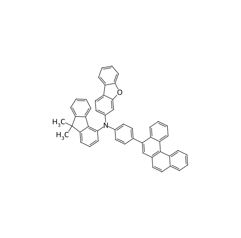 CC1(C)c2ccccc2-c2c(N(c3ccc(-c4cc5ccc6ccccc6c5c5ccccc45)cc3)c3ccc4c(c3)oc3ccccc34)cccc21